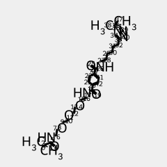 CC(C)C(=O)NCCOCCOCCOCCNC(=O)c1ccc(C(=O)NCCCCCCc2cn(C(C)C)nn2)cc1